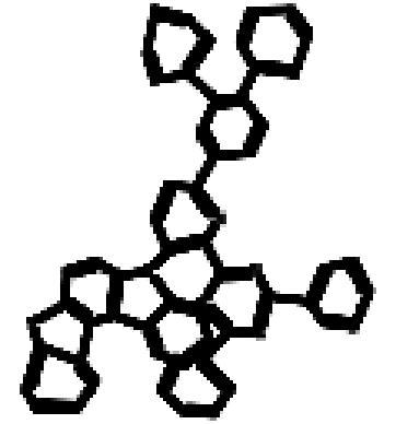 c1ccc(-c2nc(-c3ccccc3)nc(-c3nc(-c4ccc(-c5ccccc5)c(-c5ccccc5)c4)ccc3-n3c4ccccc4c4c5c(ccc43)sc3ccccc35)n2)cc1